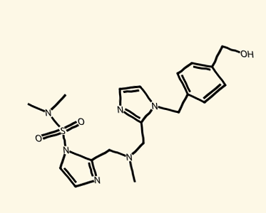 CN(Cc1nccn1Cc1ccc(CO)cc1)Cc1nccn1S(=O)(=O)N(C)C